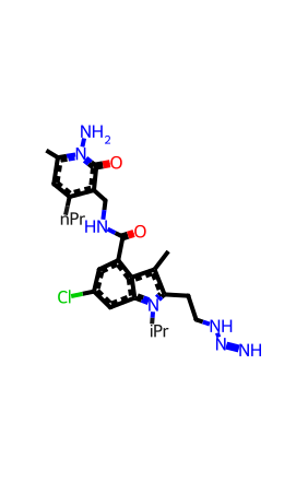 CCCc1cc(C)n(N)c(=O)c1CNC(=O)c1cc(Cl)cc2c1c(C)c(CCNN=N)n2C(C)C